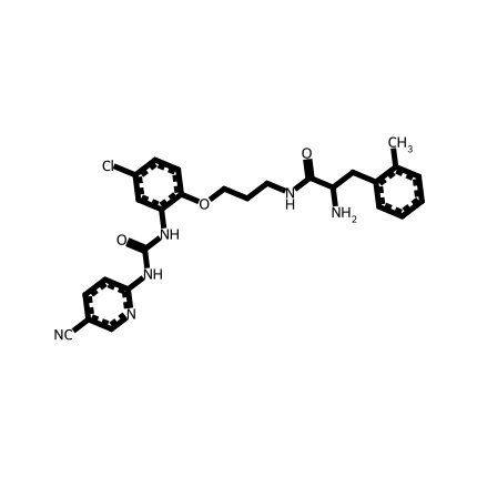 Cc1ccccc1CC(N)C(=O)NCCCOc1ccc(Cl)cc1NC(=O)Nc1ccc(C#N)cn1